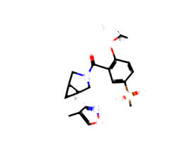 Cc1conc1[C@]12CC1CN(C(=O)c1cc(S(C)(=O)=O)ccc1O[C@H](C)C(F)(F)F)C2